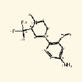 COc1cc(N)cnc1N1CCN(C)C(C(F)(F)F)C1